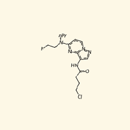 CCCN(CCF)c1ccn2ncc(NC(=O)CCCCl)c2n1